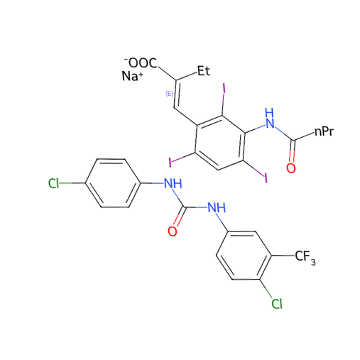 CCCC(=O)Nc1c(I)cc(I)c(/C=C(\CC)C(=O)[O-])c1I.O=C(Nc1ccc(Cl)cc1)Nc1ccc(Cl)c(C(F)(F)F)c1.[Na+]